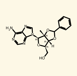 C[C@@]12OC(c3ccccc3)O[C@@H]1[C@@H](CO)O[C@H]2n1cnc2c(N)ncnc21